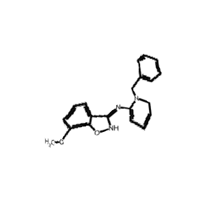 COc1cccc2c(=NC3=CC=CCN3Cc3ccccc3)[nH]oc12